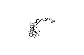 CNCCNC1CCN(c2ccc(Nc3ncc(Cl)c(Nc4cccc5c4N(S(=O)(=O)N(C)C)CC5)n3)c(OC)c2)CC1